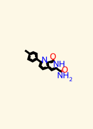 Cc1ccc(-c2ccc3cc(C(N)=O)[nH]c(=O)c3n2)cc1